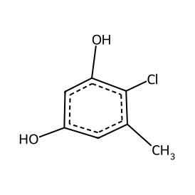 Cc1cc(O)cc(O)c1Cl